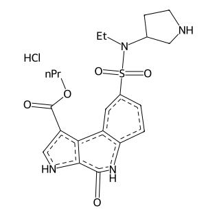 CCCOC(=O)c1c[nH]c2c(=O)[nH]c3ccc(S(=O)(=O)N(CC)C4CCNC4)cc3c12.Cl